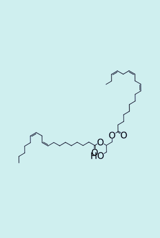 CC/C=C\C/C=C\C/C=C\CCCCCCCC(=O)OCC(CO)OC(=O)CCCCCCC/C=C\C/C=C\CCCCC